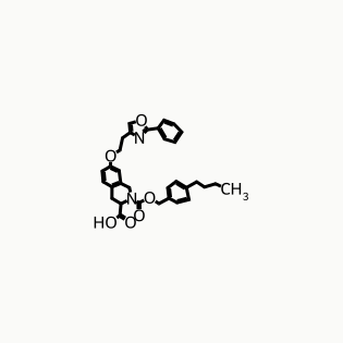 CCCCc1ccc(COC(=O)N2Cc3cc(OCCc4coc(-c5ccccc5)n4)ccc3CC2C(=O)O)cc1